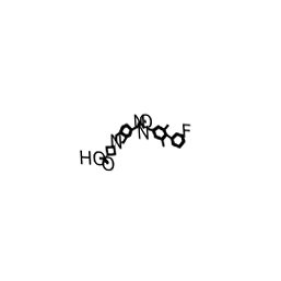 Cc1cc(-c2nc(-c3ccc4c(c3)CN([C@H]3C[C@H](C(=O)O)C3)C4)no2)cc(C)c1-c1cccc(F)c1